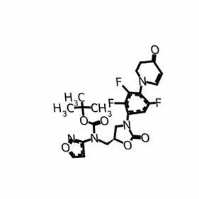 CC(C)(C)OC(=O)N(C[C@H]1CN(c2cc(F)c(N3C=CC(=O)CC3)c(F)c2F)C(=O)O1)c1ccon1